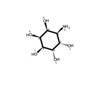 N[C@H]1[C@H](O)[C@H](O)[C@@H](O)[C@@H](O)[C@H]1O